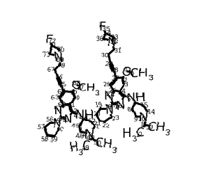 COc1cc2c(NC3CCN(C(C)C)CC3)nc(N3CCCCC3)nc2cc1C#CCCN1CC(F)C1.COc1cc2c(NC3CCN(C(C)C)CC3)nc(N3CCCCC3)nc2cc1C#CCCN1CC(F)C1